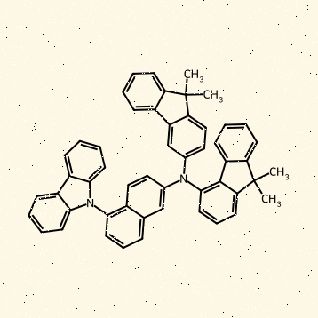 CC1(C)c2ccccc2-c2cc(N(c3ccc4c(-n5c6ccccc6c6ccccc65)cccc4c3)c3cccc4c3-c3ccccc3C4(C)C)ccc21